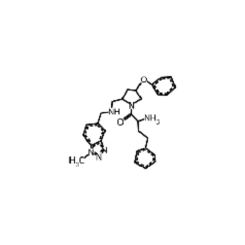 Cn1nnc2cc(CNCC3CC(Oc4ccccc4)CN3C(=O)C(N)CCc3ccccc3)ccc21